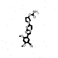 COc1cc(OC)c(-c2cn3ccc(N4CCC(OC(N)=O)C4)nc3n2)cc1C#N